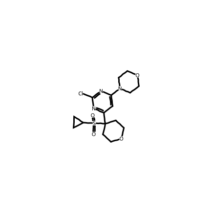 O=S(=O)(C1CC1)C1(c2cc(N3CCOCC3)nc(Cl)n2)CCOCC1